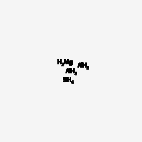 [AlH3].[AlH3].[MgH2].[SiH4]